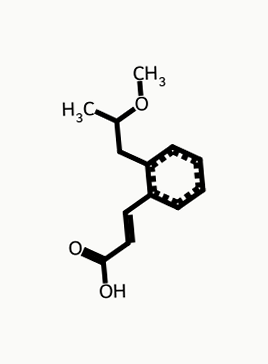 COC(C)Cc1ccccc1/C=C/C(=O)O